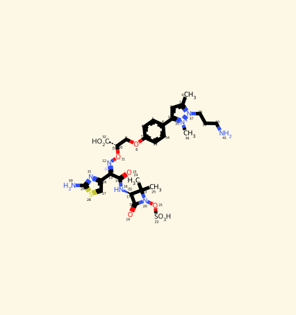 Cc1cc(-c2ccc(OC[C@H](O/N=C(\C(=O)N[C@@H]3C(=O)N(OS(=O)(=O)O)C3(C)C)c3csc(N)n3)C(=O)O)cc2)[n+](C)n1CCCN